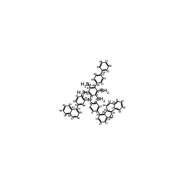 Bc1c(B)c(N(c2ccc(-c3cccc4oc5c6ccccc6ccc5c34)cc2)c2cccc(-c3cccc4ccccc34)c2)c(B)c(B)c1-c1ccc(-c2ccccc2)cc1